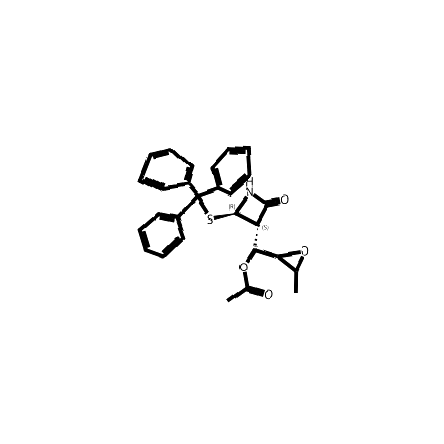 CC(=O)OC(C1OC1C)[C@H]1C(=O)N[C@@H]1SC(c1ccccc1)(c1ccccc1)c1ccccc1